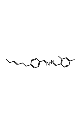 CC/C=C/CCc1ccc(/C=N/N=C/c2ccc(C)cc2C)cc1